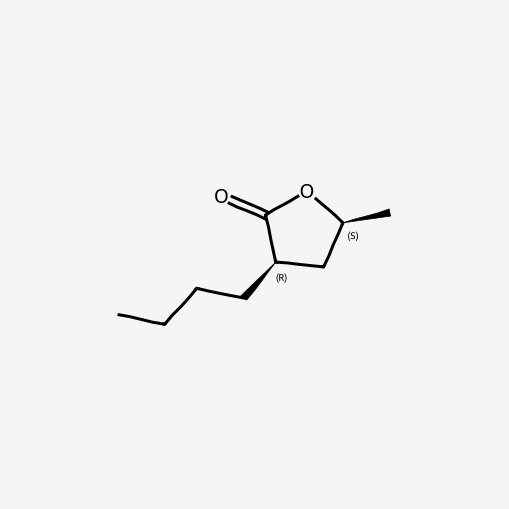 CCCC[C@@H]1C[C@H](C)OC1=O